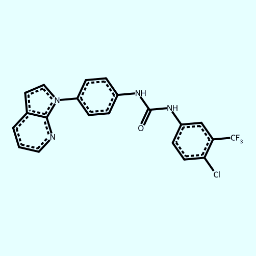 O=C(Nc1ccc(-n2ccc3cccnc32)cc1)Nc1ccc(Cl)c(C(F)(F)F)c1